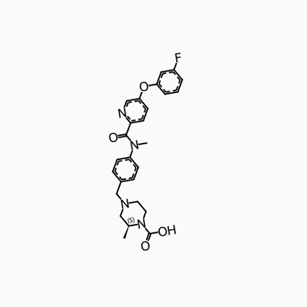 C[C@H]1CN(Cc2ccc(N(C)C(=O)c3ccc(Oc4cccc(F)c4)cn3)cc2)CCN1C(=O)O